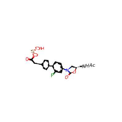 CC(=O)NC[C@H]1CN(c2ccc(-c3ccc(CC(=O)OSO)cc3)c(F)c2)C(=O)O1